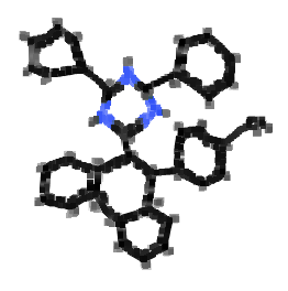 Cc1ccc(-c2c(-c3nc(-c4ccccc4)nc(-c4ccccc4)n3)c3ccccc3c3ccccc23)cc1